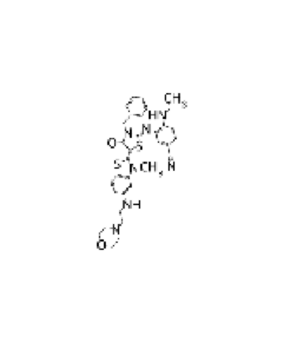 CCNc1ccc(C#N)cc1N=C1SC(=C2Sc3ccc(NCCN4CCOCC4)cc3N2C)C(=O)N1Cc1ccccc1